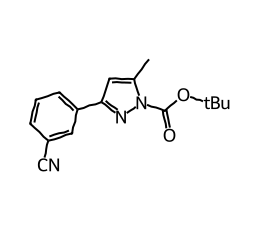 Cc1cc(-c2cccc(C#N)c2)nn1C(=O)OC(C)(C)C